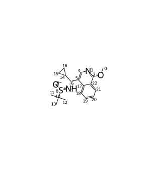 COc1ncc([C@H](N[S@+]([O-])C(C)(C)C)C2CC2)c2ccccc12